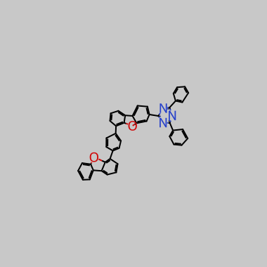 c1ccc(-c2nc(-c3ccccc3)nc(-c3ccc4c(c3)oc3c(-c5ccc(-c6cccc7c6oc6ccccc67)cc5)cccc34)n2)cc1